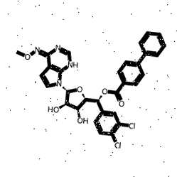 CO/N=c1/nc[nH]c2c1ccn2[C@@H]1O[C@H]([C@H](OC(=O)c2ccc(-c3ccccc3)cc2)c2ccc(Cl)c(Cl)c2)[C@@H](O)[C@H]1O